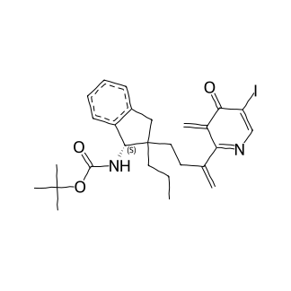 C=C(CCC1(CCC)Cc2ccccc2[C@H]1NC(=O)OC(C)(C)C)C1=NC=C(I)C(=O)C1=C